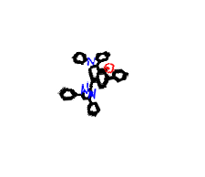 c1ccc(-c2cc(-c3ccccc3)nc(-c3cc4c(c5ccccc5n4-c4ccccc4)c4c3ccc3c5ccccc5oc34)n2)cc1